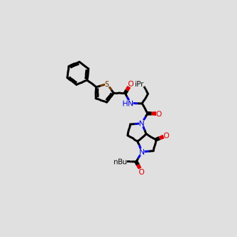 CCCCC(=O)N1CC(=O)C2C1CCN2C(=O)C(CC(C)C)NC(=O)c1ccc(-c2ccccc2)s1